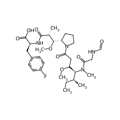 CC[C@H](C)[C@@H](C(CC(=O)N1CCC[C@H]1C(OC)[C@@H](C)C(=O)N[C@@H](Cc1ccc(F)cc1)C(=O)O)OC)N(C)C(=O)CNC=O